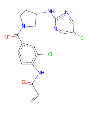 C=CC(=O)Nc1ccc(C(=O)N2CC[C@H](Nc3ncc(Cl)cn3)C2)cc1Cl